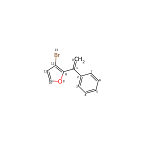 C=C(c1ccccc1)c1occc1Br